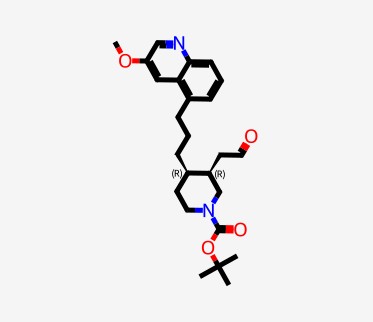 COc1cnc2cccc(CCC[C@@H]3CCN(C(=O)OC(C)(C)C)C[C@@H]3CC=O)c2c1